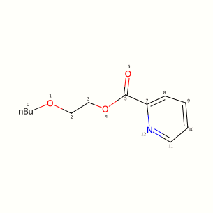 CCCCOCCOC(=O)c1ccccn1